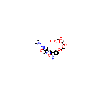 CCN(CC)CCNC(=O)c1c(C)[nH]c(/C=C2\C(=O)Nc3ccc(OC(=O)[C@H](C)OC(=O)[C@H](C)OC(=O)[C@H](C)OO)cc32)c1C